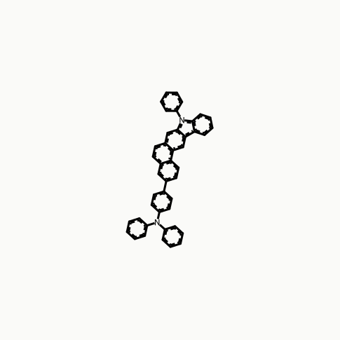 c1ccc(N(c2ccccc2)c2ccc(-c3ccc4c(ccc5cc6c(cc54)c4ccccc4n6-c4ccccc4)c3)cc2)cc1